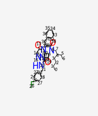 CCCCC(CC)CN1C[C@H]2N(C(=O)CN(C)N2C(=O)NCc2ccc(F)cc2)[C@@H](Cc2ccccc2)C1=O